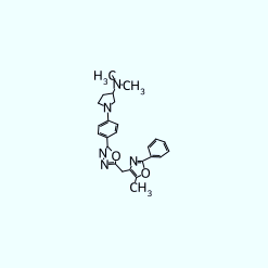 Cc1oc(-c2ccccc2)nc1Cc1nnc(-c2ccc(N3CCC(N(C)C)C3)cc2)o1